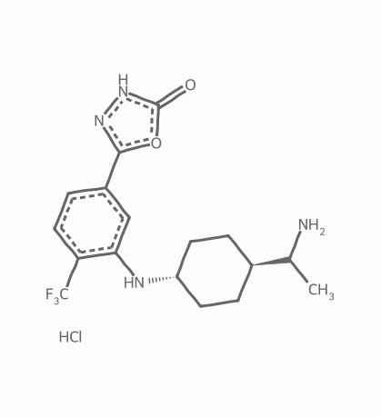 CC(N)[C@H]1CC[C@H](Nc2cc(-c3n[nH]c(=O)o3)ccc2C(F)(F)F)CC1.Cl